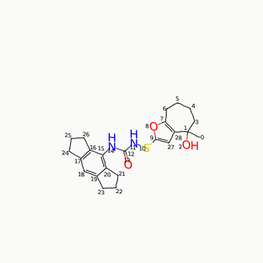 CC1(O)CCCCc2oc(SNC(=O)Nc3c4c(cc5c3CCC5)CCC4)cc21